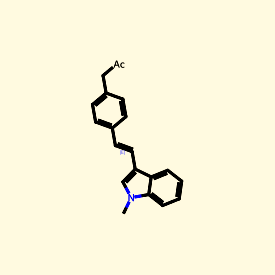 CC(=O)Cc1ccc(/C=C/c2cn(C)c3ccccc23)cc1